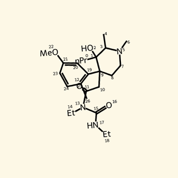 CCCC1(O)C(C)N(C)CCC1(CC(=O)N(CC)C(=O)NCC)c1cc(OC)ccc1C